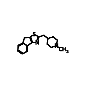 CN1CCC(Cc2nc3c(s2)Cc2ccccc2-3)CC1